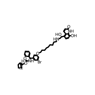 O=C(NC(c1ccccc1)c1cc(Br)cc(OCCCCCCCCCNC[C@H](O)c2ccc(O)c3[nH]c(=O)ccc23)c1)O[C@H]1CN2CCC1CC2